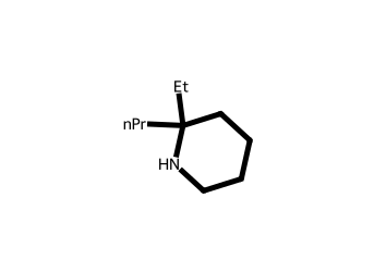 CCCC1(CC)CCCCN1